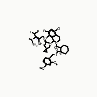 COc1ccc(COC(=O)[C@@]2(C)CCCCC2C(=O)N2CCc3c(Cl)cc(F)c(OC/C(N)=C(\C(F)F)N(C)N)c3C2N2CC3(CC3)CC2=O)c(OC)c1